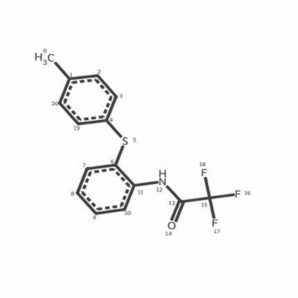 Cc1ccc(Sc2ccccc2NC(=O)C(F)(F)F)cc1